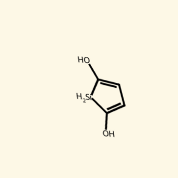 OC1=CC=C(O)[SiH2]1